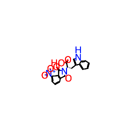 O=C(O)[C@H](Cc1c[nH]c2ccccc12)N1C(=O)c2cccc([N+](=O)[O-])c2C1=O